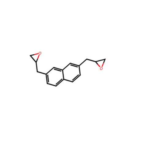 c1cc2ccc(CC3CO3)cc2cc1CC1CO1